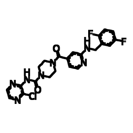 O=C(Nc1nccnc1Cl)N1CCN(C(=O)c2ccnc(NCc3cc(F)ccc3F)c2)CC1